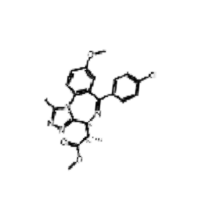 COC(=O)[C@@H](C)[C@@H]1N=C(c2ccc(Cl)cc2)c2cc(OC)ccc2-n2c(C)nnc21